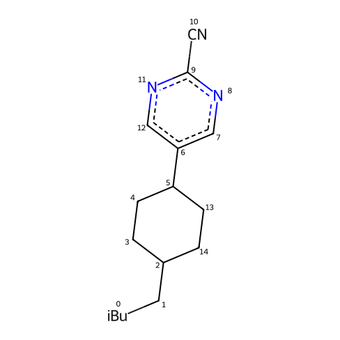 CCC(C)CC1CCC(c2cnc(C#N)nc2)CC1